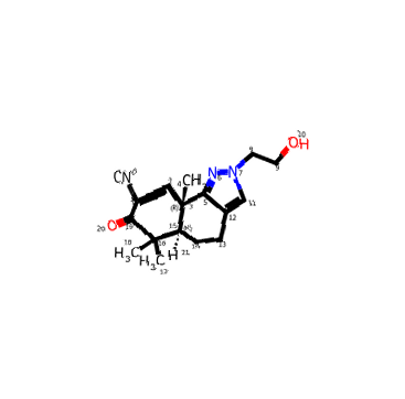 [C-]#[N+]C1=C[C@]2(C)c3nn(CCO)cc3CC[C@H]2C(C)(C)C1=O